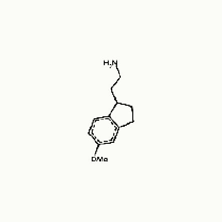 COc1ccc2c(c1)CCC2CCN